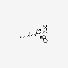 FCCCNCCOc1ccnc(C2c3[nH]c4ccccc4c3CCN2CC(F)(F)F)c1